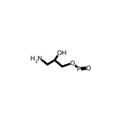 NCC(O)COP=O